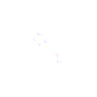 NOCCn1cnnn1